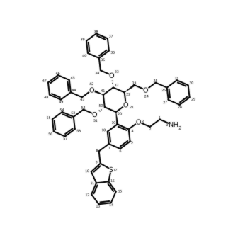 NCCOc1ccc(Cc2cc3ccccc3s2)cc1[C@@H]1O[C@H](COCc2ccccc2)[C@@H](OCc2ccccc2)[C@H](OCc2ccccc2)[C@H]1OCc1ccccc1